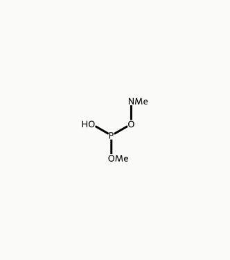 CNOP(O)OC